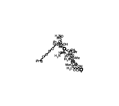 CC[C@H](C)[C@@H]([C@@H](CC(=O)N1CCC[C@H]1[C@H](OC)[C@@H](C)C(=O)N[C@H](C)[C@@H](O)c1ccccc1)OC)N(C)C(=O)[C@@H](NC(=O)[C@H](C(C)C)N(C)C(=O)OCc1ccc(NC(O)[C@H](CCCNC(N)=O)NC(=O)[C@@H](NC(=O)CCOCCOCCOCCOCCC(=O)C(C)C)C(C)C)cc1C(=O)NCCN)C(C)C